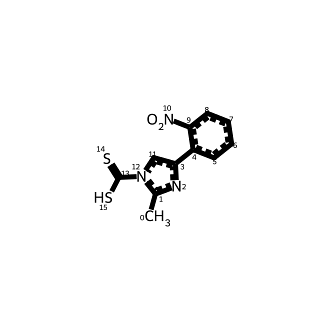 Cc1nc(-c2ccccc2[N+](=O)[O-])cn1C(=S)S